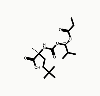 CCC(=O)O[C@H](OC(=O)N[C@@](C)(CCC(C)(C)C)C(=O)O)C(C)C